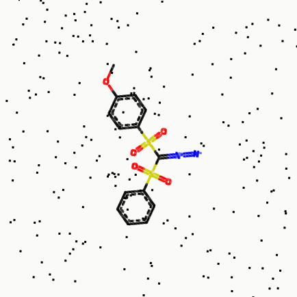 COc1ccc(S(=O)(=O)C(=[N+]=[N-])S(=O)(=O)c2ccccc2)cc1